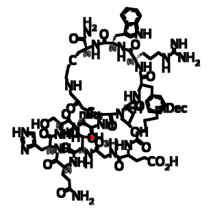 CCCCCCCCCCCCCCCC(=O)NC(CCC(=O)O)C(=O)NCC(=O)N[C@H](C(=O)N[C@@H](CCC(N)=O)C(=O)N[C@@H](Cc1c[nH]cn1)C(=O)N[C@@H](CO)C(=O)N[C@@H](CCCC)C(=O)N[C@H]1CCC(=O)CNCCCC[C@@H](C(N)=O)NC(=O)[C@H](Cc2c[nH]c3ccccc23)NC(=O)[C@H](CCCNC(=N)N)NC(=O)C(Cc2ccccc2)NC(=O)[C@@H]2CC(O)CN2C1=O)C(C)O